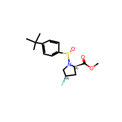 COC(=O)[C@H]1C[C@@H](F)CN1[S+]([O-])c1ccc(C(C)(C)C)cc1